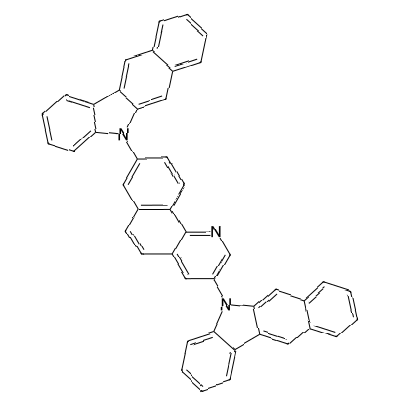 c1ccc2cc3c(cc2c1)c1ccccc1n3-c1ccc2c(ccc3cc(-n4c5ccccc5c5cc6ccccc6cc54)cnc32)c1